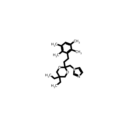 CCC1(CC)COC(CCc2c(C)c(C)cc(C)c2C)(Cn2ccnc2)OC1